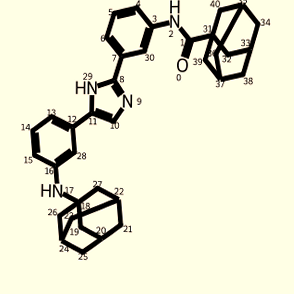 O=C(Nc1cccc(-c2ncc(-c3cccc(NC45CC6CC(CC(C6)C4)C5)c3)[nH]2)c1)C12CC3CC(CC(C3)C1)C2